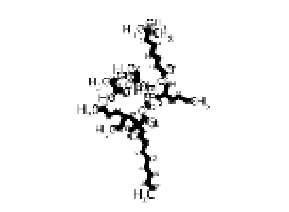 C=C(C)C(=O)O.C=CC(=O)O.C=COC(=O)C(C=C)(CCCCCCCCCC)CC(CC)CCCC.CCCCC(CC)COC(=O)CCCCCC(C)(C)C